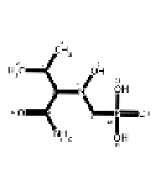 CC(C)C(C(N)=O)N(O)CP(=O)(O)O